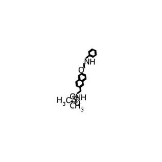 CC(C)S(=O)(=O)NCCc1ccc2cc(OCCNCc3ccccc3)ccc2c1